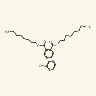 CCCCCCCCOC(=O)c1ccccc1C(=O)OCCCCCCCC.Clc1ccccc1